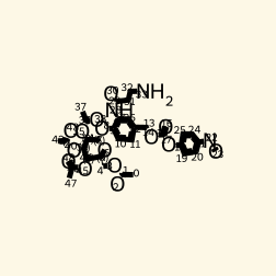 CC(=O)OC[C@H]1O[C@@H](Oc2ccc(COC(=O)Oc3ccc(N=O)cc3)cc2NC(=O)CCN)[C@H](OC(C)=O)[C@@H](OC(C)=O)[C@H]1OC(C)=O